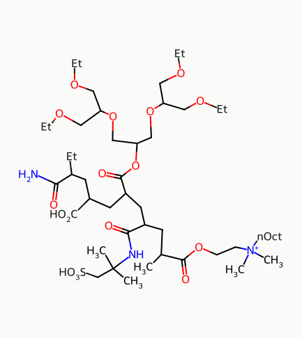 CCCCCCCC[N+](C)(C)CCOC(=O)C(C)CC(CC(CC(CC(CC)C(N)=O)C(=O)O)C(=O)OC(COC(COCC)COCC)COC(COCC)COCC)C(=O)NC(C)(C)CS(=O)(=O)O